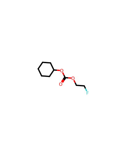 O=C(OCCF)OC1CCCCC1